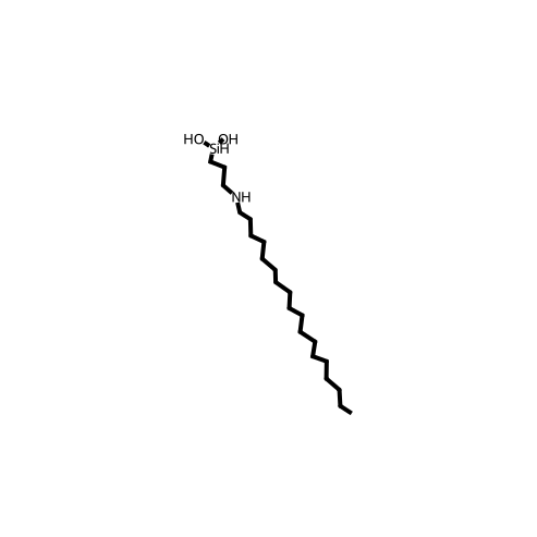 CCCCCCCCCCCCCCCCCCNCCC[SiH](O)O